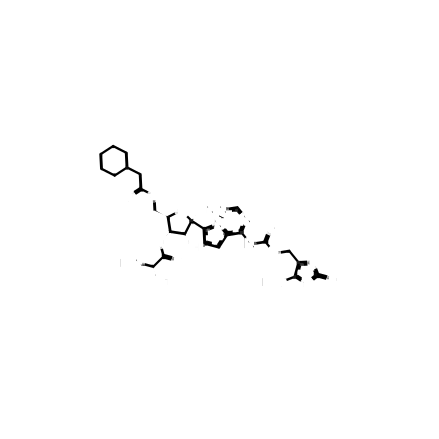 Cc1oc(=O)oc1COC(=O)Nc1ncnn2c([C@]3(C#N)O[C@H](COC(=O)CC4CCCCC4)[C@@H](OC(=O)[C@@H](N)C(C)C)[C@H]3O)ccc12